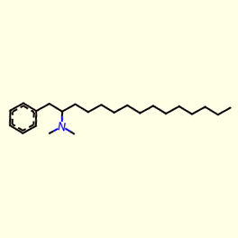 CCCCCCCCCCCCCC(Cc1ccccc1)N(C)C